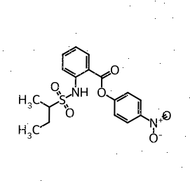 CCC(C)S(=O)(=O)Nc1ccccc1C(=O)Oc1ccc([N+](=O)[O-])cc1